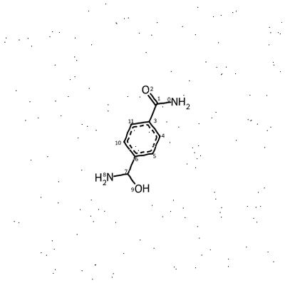 NC(=O)c1ccc(C(N)O)cc1